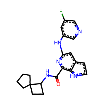 O=C(NC1CCC12CCCC2)c1nc(Nc2cncc(F)c2)cc2cc[nH]c12